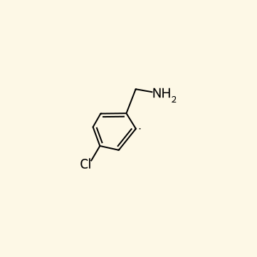 NCc1[c]cc(Cl)cc1